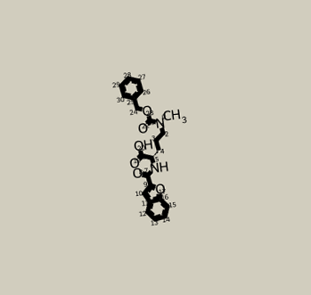 CN(CCC[C@H](NC(=O)c1cc2ccccc2o1)C(=O)O)C(=O)OCc1ccccc1